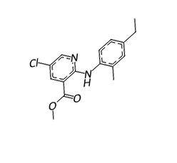 CCc1ccc(Nc2ncc(Cl)cc2C(=O)OC)c(C)c1